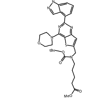 COC(=O)CCCCN(Cc1cc2nc(-c3cccc4[nH]ncc34)nc(N3CCOCC3)c2s1)C(=O)OC(C)(C)C